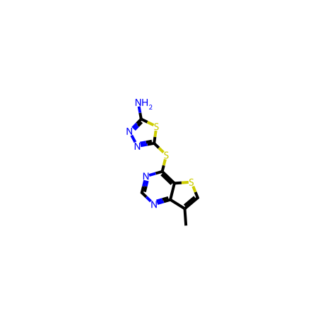 Cc1csc2c(Sc3nnc(N)s3)ncnc12